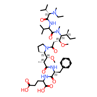 CC[C@H](C)[C@@H]([C@@H](CC(=O)N1CCC[C@H]1[C@H](OC)[C@@H](C)C(=O)N[C@@H](Cc1ccccc1)C(=O)NC(CCC(=O)O)C(=O)O)OC)N(C)C(=O)C(NC(=O)[C@H](C(C)C)N(C)CC)C(C)C